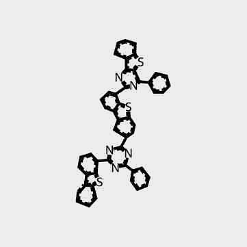 c1ccc(-c2nc(-c3ccc4sc5c(-c6nc(-c7ccccc7)c7sc8ccccc8c7n6)cccc5c4c3)nc(-c3cccc4c3sc3ccccc34)n2)cc1